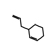 C=CCC1[CH]CCC=C1